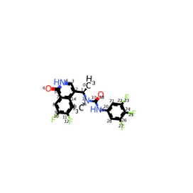 C[C@H](c1c[nH]c(=O)c2cc(F)c(F)cc12)N(C)C(=O)Nc1cc(F)c(F)c(F)c1